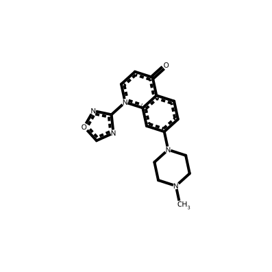 CN1CCN(c2ccc3c(=O)ccn(-c4ncon4)c3c2)CC1